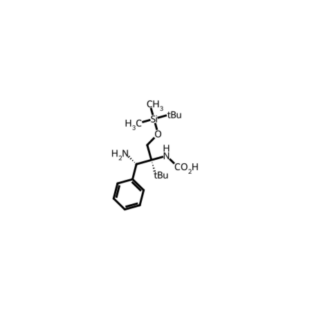 CC(C)(C)[C@](CO[Si](C)(C)C(C)(C)C)(NC(=O)O)[C@@H](N)c1ccccc1